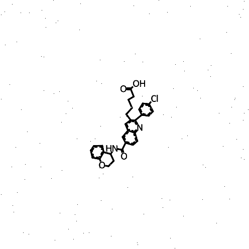 O=C(O)CCCCc1cc2cc(C(=O)NC3CCOc4ccccc43)ccc2nc1-c1ccc(Cl)cc1